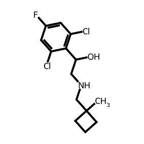 CC1(CNCC(O)c2c(Cl)cc(F)cc2Cl)CCC1